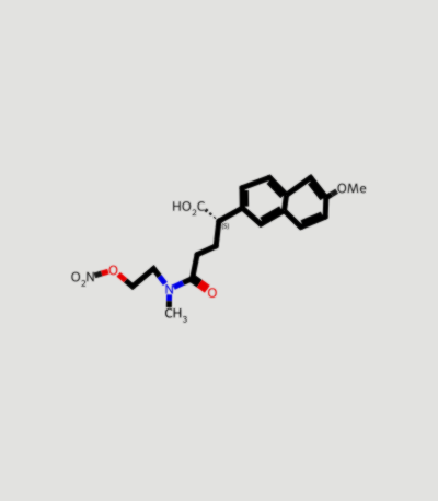 COc1ccc2cc([C@H](CCC(=O)N(C)CCO[N+](=O)[O-])C(=O)O)ccc2c1